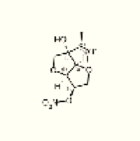 C[S@@+]([O-])[C@]1(O)CO[C@@H]2[C@H](O[N+](=O)[O-])CO[C@@H]21